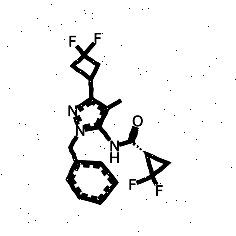 Cc1c(C2CC(F)(F)C2)nn(Cc2ccccc2)c1NC(=O)[C@@H]1CC1(F)F